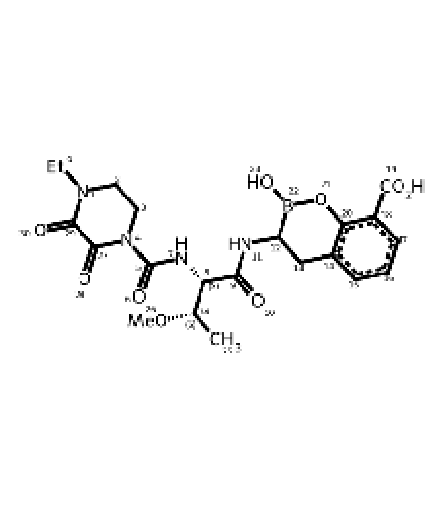 CCN1CCN(C(=O)N[C@H](C(=O)NC2Cc3cccc(C(=O)O)c3OB2O)[C@H](C)OC)C(=O)C1=O